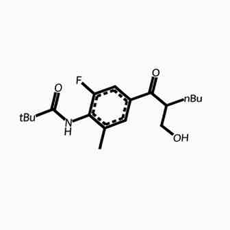 CCCCC(CO)C(=O)c1cc(C)c(NC(=O)C(C)(C)C)c(F)c1